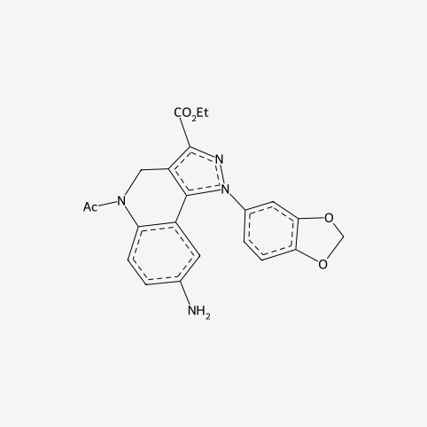 CCOC(=O)c1nn(-c2ccc3c(c2)OCO3)c2c1CN(C(C)=O)c1ccc(N)cc1-2